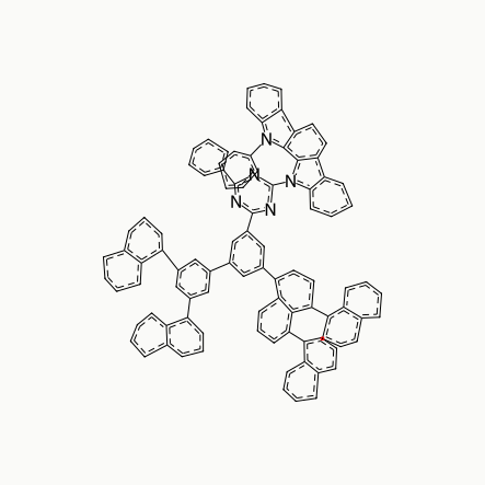 c1ccc(-c2nc(-c3cc(-c4cc(-c5cccc6ccccc56)cc(-c5cccc6ccccc56)c4)cc(-c4ccc(-c5cccc6ccccc56)c5c(-c6cccc7ccccc67)cccc45)c3)nc(-n3c4ccccc4c4ccc5c6ccccc6n(-c6ccccc6)c5c43)n2)cc1